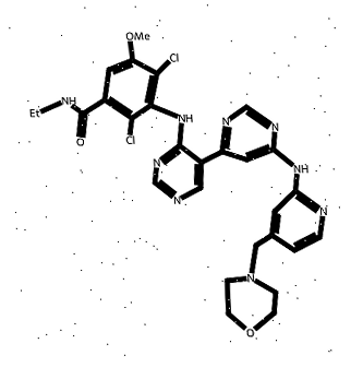 CCNC(=O)c1cc(OC)c(Cl)c(Nc2ncncc2-c2cc(Nc3cc(CN4CCOCC4)ccn3)ncn2)c1Cl